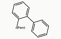 CCCC[CH]c1ccccc1-c1ccccc1